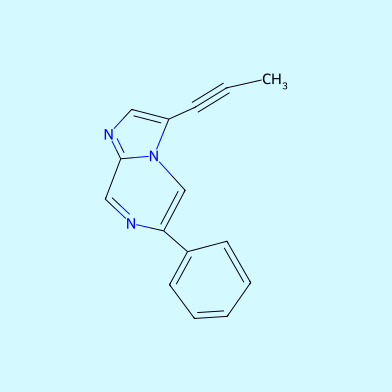 CC#Cc1cnc2cnc(-c3ccccc3)cn12